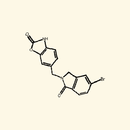 O=C1c2ccc(Br)cc2CN1Cc1ccc2[nH]c(=O)oc2c1